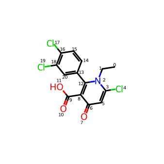 CCn1c(Cl)cc(=O)c(C(=O)O)c1-c1ccc(Cl)c(Cl)c1